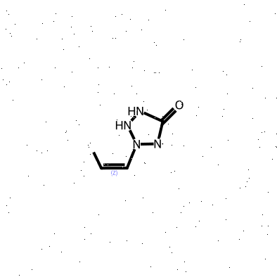 C/C=C\N1[N]C(=O)NN1